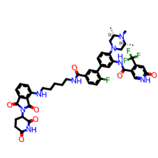 C[C@@H]1CN(c2ccc(-c3cc(C(=O)NCCCCCNc4cccc5c4C(=O)N(C4CCC(=O)NC4=O)C5=O)ccc3F)cc2NC(=O)c2c[nH]c(=O)cc2C(F)(F)F)C[C@H](C)N1C